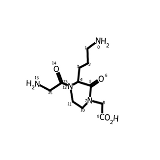 NCCCC1C(=O)N(CC(=O)O)CCN1C(=O)CN